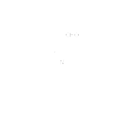 CC(C)(C=O)N1CCC1